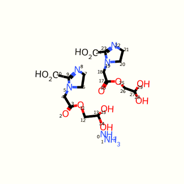 N.N.O=C(CN1CCN=C1C(=O)O)OCC(O)O.O=C(CN1CCN=C1C(=O)O)OCC(O)O